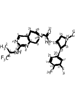 C[C@H](Nc1ncc2c(n1)CN(C(=O)N[C@@H]1CN(C)C[C@H]1c1ccc(F)c(F)c1)CC2)C(F)(F)F